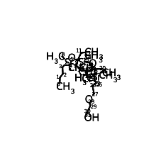 CCCC[Si](C)(C)OC(CC)(CC)[Si](C)(C)OC(CC)(CC)[Si](C)(C)CCCOCCO